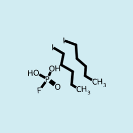 CCCCCI.CCCCCI.O=P(O)(O)F